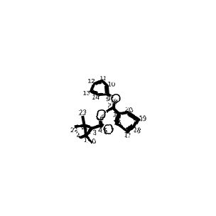 CC1(C)C(C(=O)OC(Oc2ccccc2)c2ccccc2)C1(C)C